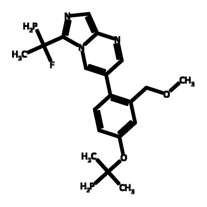 COCc1cc(OC(C)(C)P)ccc1-c1cnc2cnc(C(C)(F)P)n2c1